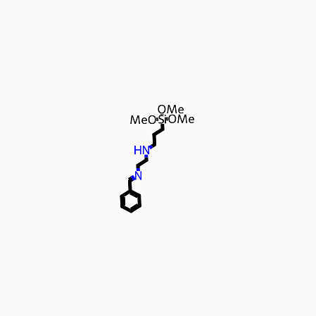 CO[Si](CCCNCCN=Cc1ccccc1)(OC)OC